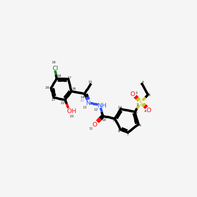 CCS(=O)(=O)c1cccc(C(=O)N/N=C(\C)c2cc(Cl)ccc2O)c1